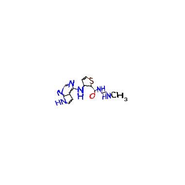 CNCCNC(=O)C1SC=CC1Nc1ncnc2[nH]ccc12